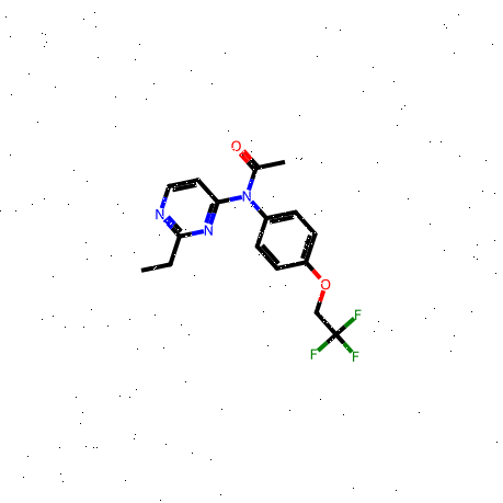 CCc1nccc(N(C(C)=O)c2ccc(OCC(F)(F)F)cc2)n1